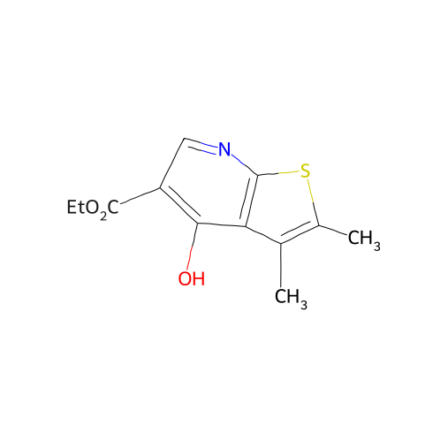 CCOC(=O)c1cnc2sc(C)c(C)c2c1O